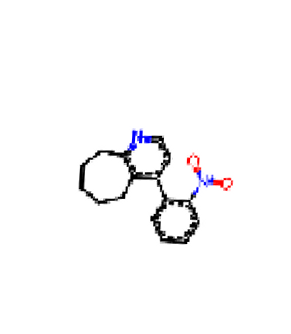 O=[N+]([O-])c1ccccc1-c1ccnc2c1CCCCC2